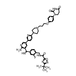 CC(C)(C)c1noc(C(=O)NCc2ccc(C(=N)c3cc(-c4ccc(C5CCN(CCCOc6ccc(N7CCC(=O)NC7=O)cc6)CC5)nc4)cnc3N)cc2F)n1